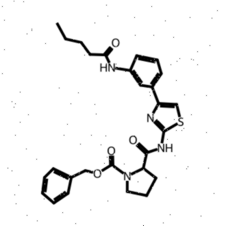 CCCCC(=O)Nc1cccc(-c2csc(NC(=O)C3CCCN3C(=O)OCc3ccccc3)n2)c1